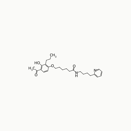 CCCc1c(OCCCCCC(=O)NCCCCc2ccccn2)ccc(C(C)=O)c1O